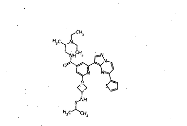 CCN(CC)C(C)CNC(=O)c1cc(-c2cnn3ccc(-c4cccs4)nc23)nc(N2CC(NSC(C)C)C2)c1